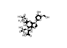 NC1(OP(N)(=O)O)N=C2N([C@H]3C[C@H](O)[C@@H](CO)O3)C=NC2(N[C@@H](CP(=O)(O)O)C(=O)O)C(=O)N1